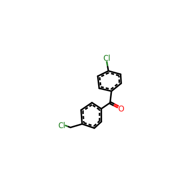 O=C(c1ccc(Cl)cc1)c1ccc(CCl)cc1